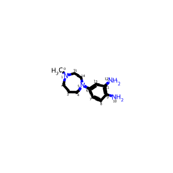 CN1CCCN(c2ccc(N)c(N)c2)CC1